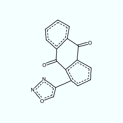 O=C1c2ccccc2C(=O)c2c1cccc2-c1conn1